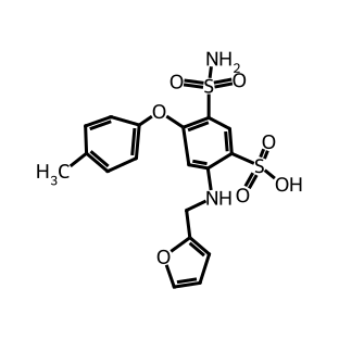 Cc1ccc(Oc2cc(NCc3ccco3)c(S(=O)(=O)O)cc2S(N)(=O)=O)cc1